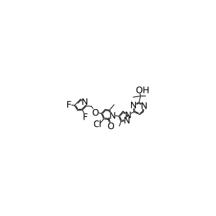 Cc1nn(-c2ccnc(C(C)(C)O)n2)cc1-n1c(C)cc(OCc2ncc(F)cc2F)c(Cl)c1=O